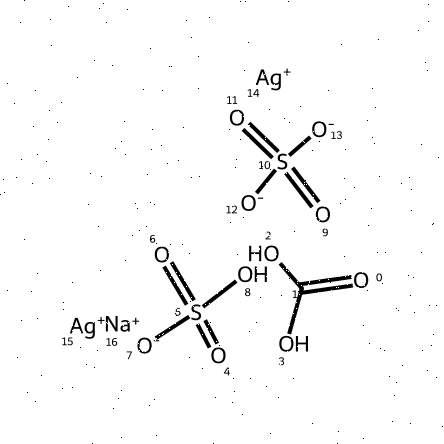 O=C(O)O.O=S(=O)([O-])O.O=S(=O)([O-])[O-].[Ag+].[Ag+].[Na+]